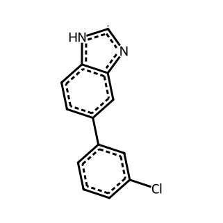 Clc1cccc(-c2ccc3[nH][c]nc3c2)c1